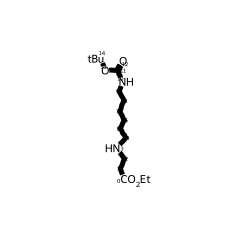 CCOC(=O)CCNCCCCCCNC(=O)OC(C)(C)C